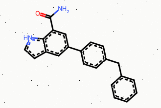 NC(=O)c1cc(-c2ccc(Cc3ccccc3)cc2)cc2cc[nH]c12